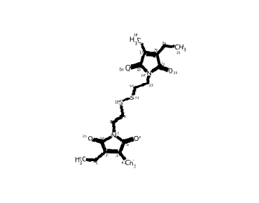 CCC1=C(C)C(=O)N(CCSSCCN2C(=O)C(C)=C(CC)C2=O)C1=O